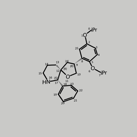 CC(C)Oc1ccc(OC(C)C)c([C@@H]2CO[C@]3(CCCN[C@H]3c3ccccc3)C2)c1